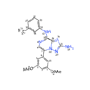 COc1cc(OC)cc(-c2cnc(Nc3cccc(C(F)(F)F)c3)c3nc(N)nn23)c1